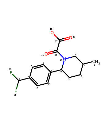 CC1CCC(c2ccc(C(F)F)cc2)N(C(=O)C([O])=O)C1